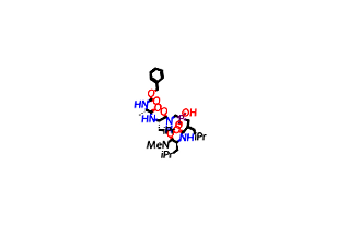 CNC(=O)[C@H](CC(C)C)NC(=O)C(CC(C)C)CP(=O)(O)CNC(=O)[C@H](CC(C)C)NC(=O)[C@H](C)NC(=O)OCc1ccccc1